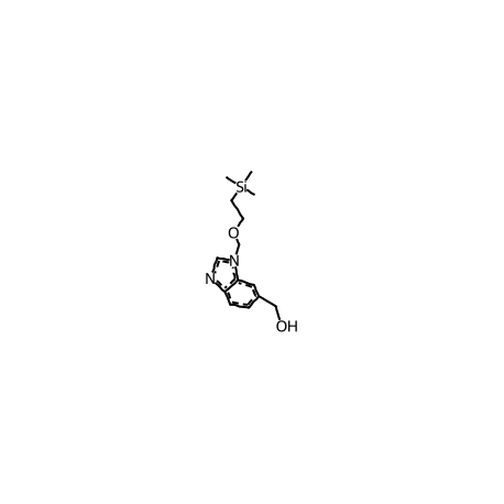 C[Si](C)(C)CCOCn1cnc2ccc(CO)cc21